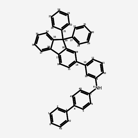 c1ccc(-c2ccc(Nc3cccc(-c4ccc5c(c4)C(c4ccccc4)(c4ccccc4)c4ccccc4-5)c3)cc2)cc1